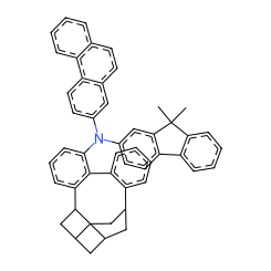 CC1(C)c2ccccc2-c2ccc(N(c3ccc4c(ccc5ccccc54)c3)c3cccc4c3-c3ccccc3C3CC5CC6CC4C56C3)cc21